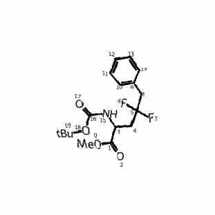 COC(=O)C(CC(F)(F)Cc1ccccc1)NC(=O)OC(C)(C)C